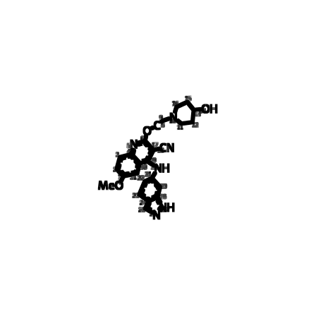 COc1ccc2nc(OCCN3CCC(O)CC3)c(C#N)c(Nc3ccc4cn[nH]c4c3)c2c1